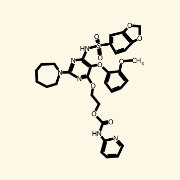 COc1ccccc1Oc1c(NS(=O)(=O)c2ccc3c(c2)OCO3)nc(N2CCCCCC2)nc1OCCOC(=O)Nc1ccccn1